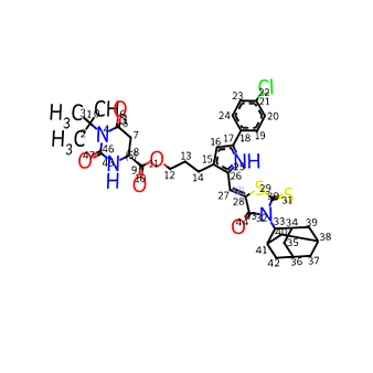 CC(C)(C)N1C(=O)C[C@@H](C(=O)OCCCc2cc(-c3ccc(Cl)cc3)[nH]c2/C=C2\SC(=S)N(C3C4CC5CC(C4)CC3C5)C2=O)NC1=O